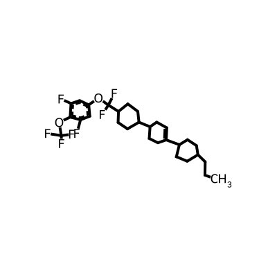 CCCC1CCC(C2=CCC(C3CCC(C(F)(F)Oc4cc(F)c(OC(F)(F)F)c(F)c4)CC3)CC2)CC1